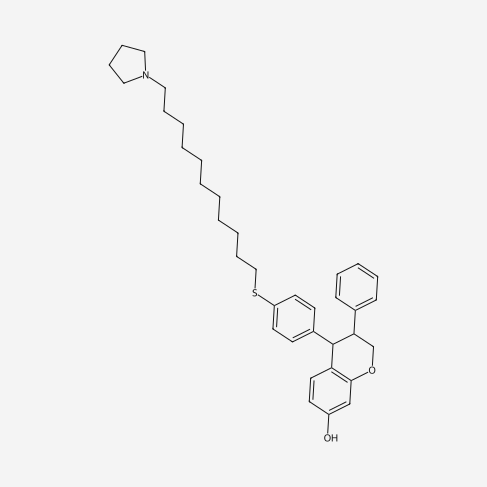 Oc1ccc2c(c1)OCC(c1ccccc1)C2c1ccc(SCCCCCCCCCCCN2CCCC2)cc1